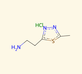 Cc1nnc(CCN)s1.Cl